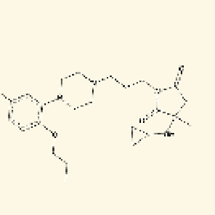 CCCOc1ccc(F)cc1N1CCN(CCCN2C(=O)CC(C)(NC3CC3)C2=O)CC1